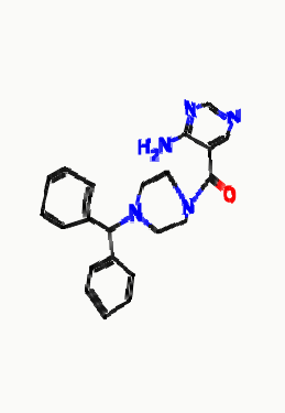 Nc1ncncc1C(=O)N1CCN(C(c2ccccc2)c2ccccc2)CC1